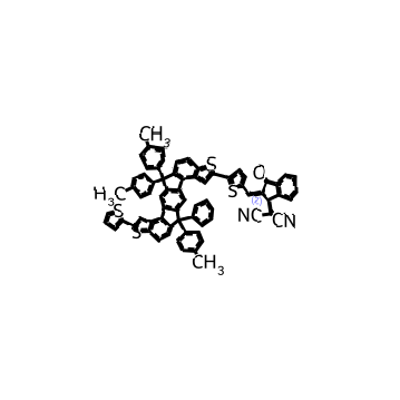 Cc1ccc(C2(c3ccccc3)c3cc4c(cc3-c3c2ccc2sc(-c5cccs5)cc32)C(c2ccc(C)cc2)(c2ccc(C)cc2)c2ccc3sc(-c5ccc(/C=C6\C(=O)c7ccccc7C6=C(C#N)C#N)s5)cc3c2-4)cc1